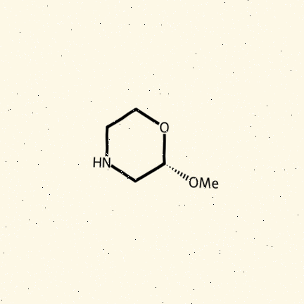 CO[C@@H]1CNCCO1